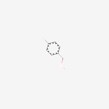 CC(C)(C)OCc1ccc([N+](=O)[O-])cc1